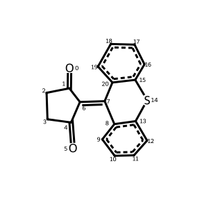 O=C1CCC(=O)C1=C1c2ccccc2Sc2ccccc21